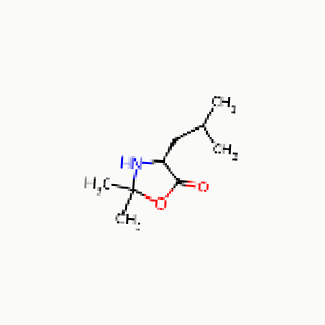 CC(C)C[C@@H]1NC(C)(C)OC1=O